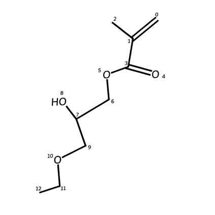 C=C(C)C(=O)OCC(O)COCC